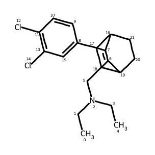 CCN(CC)CC1=C(c2ccc(Cl)c(Cl)c2)C2CCC1CC2